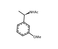 COc1cccc([C@@H](C)NC(C)=O)c1